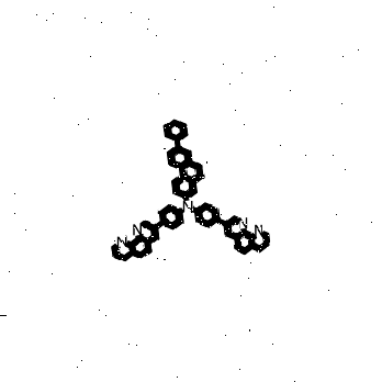 c1ccc(-c2ccc3c(ccc4cc(N(c5ccc(-c6cnc7c(ccc8cccnc87)c6)cc5)c5ccc(-c6cnc7c(ccc8cccnc87)c6)cc5)ccc43)c2)cc1